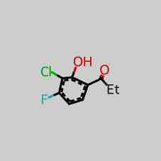 CCC(=O)c1ccc(F)c(Cl)c1O